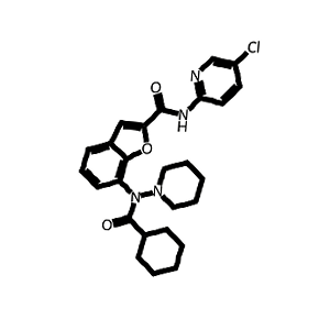 O=C(Nc1ccc(Cl)cn1)c1cc2cccc(N(C(=O)C3CCCCC3)N3CCCCC3)c2o1